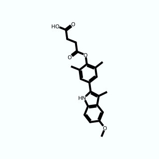 COc1ccc2[nH]c(-c3cc(C)c(OC(=O)CCC(=O)O)c(C)c3)c(C)c2c1